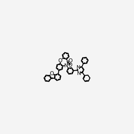 O=S1(=O)c2ccccc2Oc2ccc(-c3cccc4c3oc3ccccc34)cc2N1c1cccc(-c2nc(C3=CC=CCC3)cc(-c3ccccc3)n2)c1